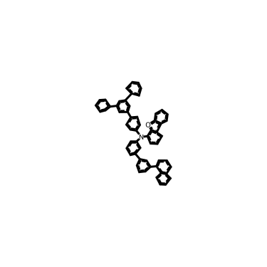 c1ccc(-c2cc(-c3ccccc3)cc(-c3ccc(N(c4cccc(-c5cccc(-c6cccc7ccccc67)c5)c4)c4cccc5c4oc4ccccc45)cc3)c2)cc1